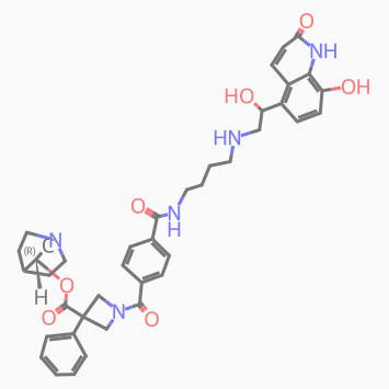 O=C(NCCCCNCC(O)c1ccc(O)c2[nH]c(=O)ccc12)c1ccc(C(=O)N2CC(C(=O)O[C@H]3CN4CCC3CC4)(c3ccccc3)C2)cc1